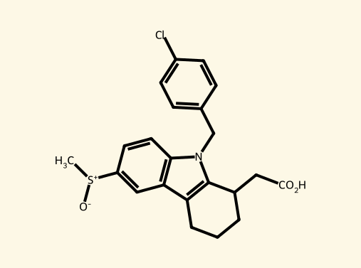 C[S+]([O-])c1ccc2c(c1)c1c(n2Cc2ccc(Cl)cc2)C(CC(=O)O)CCC1